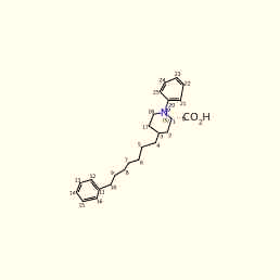 O=C(O)[C@@H]1CC(CCCCCCCc2ccccc2)CCN1c1ccccc1